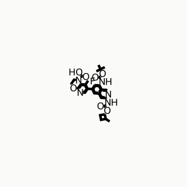 Cc1c(-c2cc3cc(NC(=O)OC4CCC4C)ncc3c(NC(=O)OC(C)(C)C)c2F)cnc2c1N(C(=O)O)CCO2